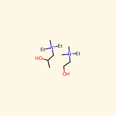 CC[N+](C)(C)CCO.CC[N+](C)(CC)CC(C)O